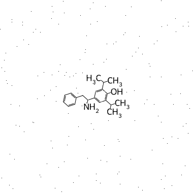 CC(C)c1cc(C(N)Cc2ccccc2)cc(C(C)C)c1O